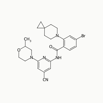 CC1CN(c2cc(C#N)cc(NC(=O)c3ccc(Br)cc3N3CCC4(CC3)CC4)n2)CCO1